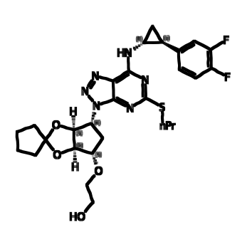 CCCSc1nc(N[C@@H]2C[C@H]2c2ccc(F)c(F)c2)c2nnn([C@@H]3C[C@H](OCCO)[C@H]4OC5(CCCC5)O[C@H]43)c2n1